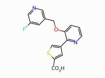 O=C(O)c1cc(-c2ncccc2OCc2cncc(F)c2)cs1